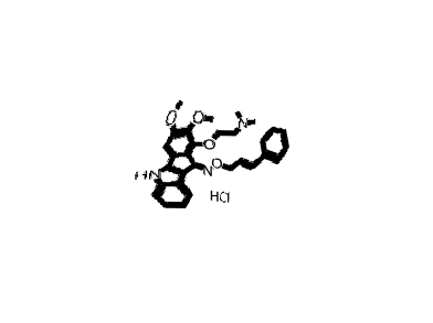 COc1cc2c(c(OCCN(C)C)c1OC)/C(=N\OC/C=C/c1ccccc1)c1c-2[nH]c2ccccc12.Cl